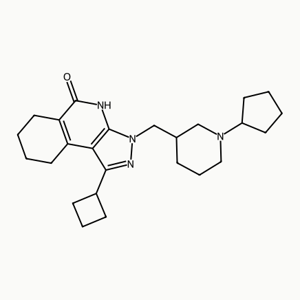 O=c1[nH]c2c(c(C3CCC3)nn2CC2CCCN(C3CCCC3)C2)c2c1CCCC2